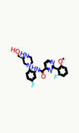 COc1cccc(F)c1-c1nccc(C(=O)Nc2cc(F)ccc2N2CCN[C@H](CO)C2)n1